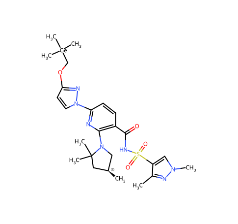 Cc1nn(C)cc1S(=O)(=O)NC(=O)c1ccc(-n2ccc(O[CH2][Ge]([CH3])([CH3])[CH3])n2)nc1N1C[C@@H](C)CC1(C)C